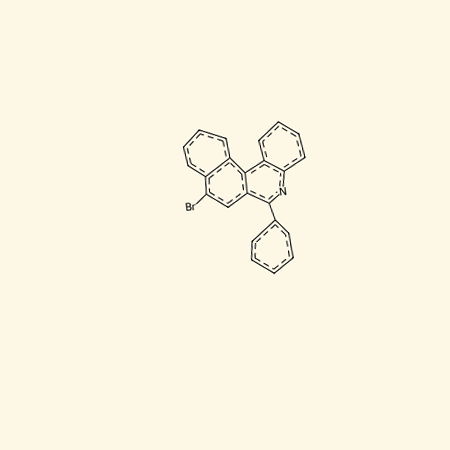 Brc1cc2c(-c3ccccc3)nc3ccccc3c2c2ccccc12